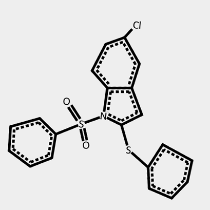 O=S(=O)(c1ccccc1)n1c(Sc2ccccc2)cc2cc(Cl)ccc21